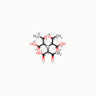 CC(=O)[CH](C(=O)O)[Cr]([CH](C(C)=O)C(=O)O)[CH](C(C)=O)C(=O)O